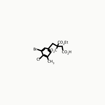 CCOC(=O)C(CC(=O)O)(Cc1cc(C)c(Cl)c(Br)c1)C(=O)O